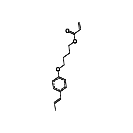 C=CC(=O)OCCCCOc1ccc(/C=C/C)cc1